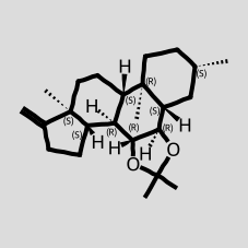 C=C1CC[C@H]2[C@@H]3[C@H]4OC(C)(C)O[C@@H]4[C@H]4C[C@@H](C)CC[C@]4(C)[C@H]3CC[C@]12C